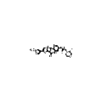 CC[C@@H]1COCCN1CC(=O)Nc1cnc2c(c1)[nH]c(=O)c1c2nn2cc(-c3cnn(C)c3)sc12